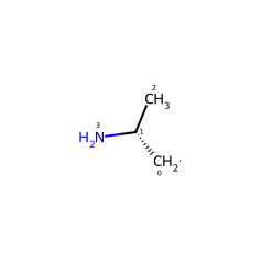 [CH2][C@@H](C)N